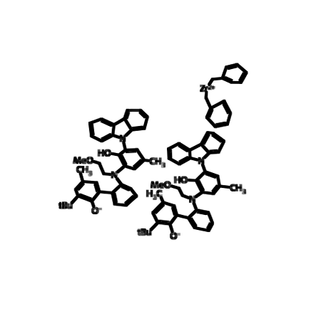 COCCN(c1ccccc1-c1cc(C)cc(C(C)(C)C)c1[O-])c1cc(C)cc(-n2c3ccccc3c3ccccc32)c1O.COCCN(c1ccccc1-c1cc(C)cc(C(C)(C)C)c1[O-])c1cc(C)cc(-n2c3ccccc3c3ccccc32)c1O.c1ccc([CH2][Zr+2][CH2]c2ccccc2)cc1